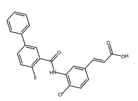 O=C(O)/C=C/c1ccc(Cl)c(NC(=O)c2cc(-c3ccccc3)ccc2F)c1